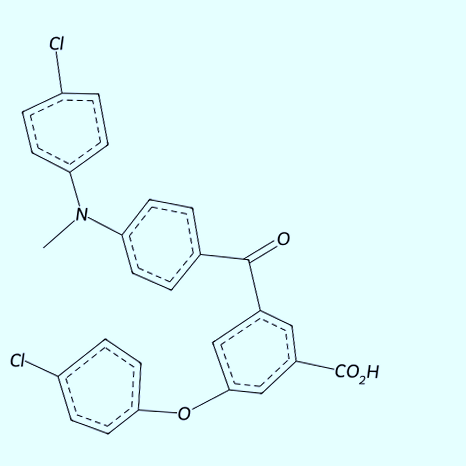 CN(c1ccc(Cl)cc1)c1ccc(C(=O)c2cc(Oc3ccc(Cl)cc3)cc(C(=O)O)c2)cc1